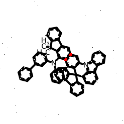 CC1(C)c2ccccc2-c2cccc(N(c3cccc(-c4ccccc4)c3)c3ccccc3-c3cccc4c3C3(c5ccccc5-c5ccccc53)c3cccc5c6ccccc6n-4c35)c21